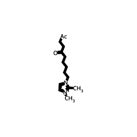 CC(=O)CCC(=O)CCCCCn1cc[n+](C)c1C